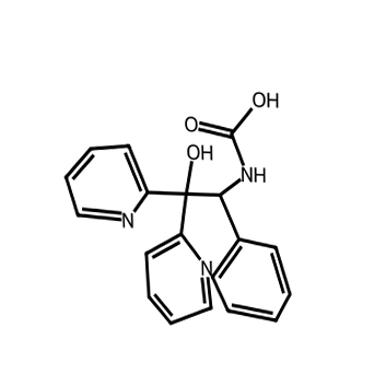 O=C(O)NC(c1ccccc1)C(O)(c1ccccn1)c1ccccn1